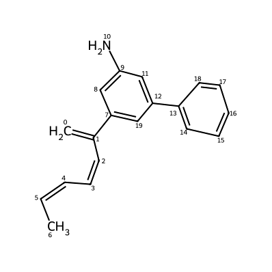 C=C(/C=C\C=C/C)c1cc(N)cc(-c2ccccc2)c1